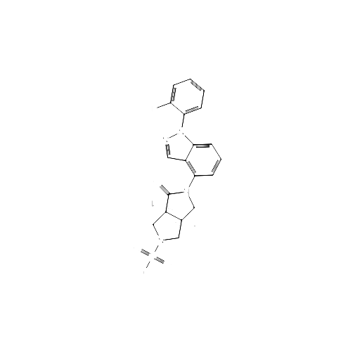 CCS(=O)(=O)N1C[C@@H]2CN(c3cccc4c3cnn4-c3ccccc3F)C(=O)[C@@H]2C1